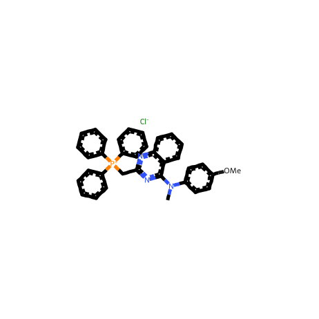 COc1ccc(N(C)c2nc(C[P+](c3ccccc3)(c3ccccc3)c3ccccc3)nc3ccccc23)cc1.[Cl-]